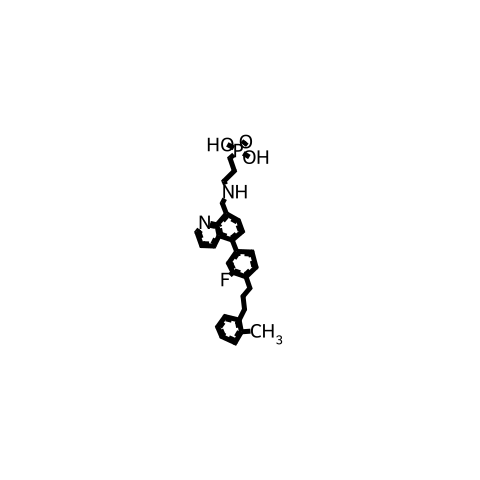 Cc1ccccc1CCCc1ccc(-c2ccc(CNCCCP(=O)(O)O)c3ncccc23)cc1F